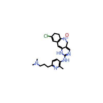 Cc1nc(CCCN(C)C)ccc1NC1=NC=C2C[N+](=O)C3=C(C=C(Cl)CC3)C=C2N1